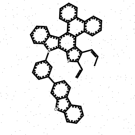 C=Cc1sc2c(c1/C=C\C)c1c3ccccc3c3ccccc3c1c1c3ccccc3n(-c3cccc(-c4ccc5c(c4)oc4ccccc45)c3)c21